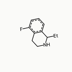 CCC1NCCc2c(F)cccc21